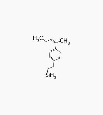 CC/C=C(/C)c1ccc(CC[SiH3])cc1